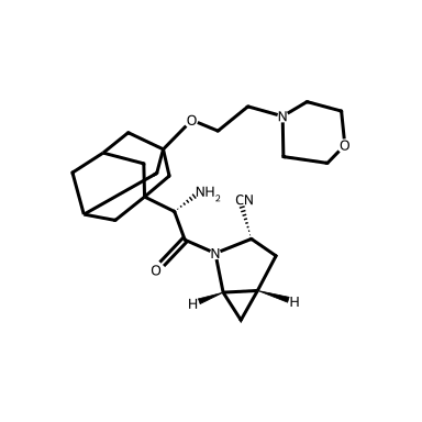 N#C[C@@H]1C[C@@H]2C[C@@H]2N1C(=O)[C@@H](N)C12CC3CC(CC(OCCN4CCOCC4)(C3)C1)C2